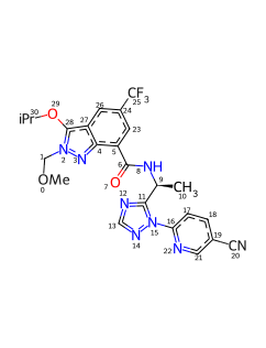 COCn1nc2c(C(=O)N[C@@H](C)c3ncnn3-c3ccc(C#N)cn3)cc(C(F)(F)F)cc2c1OC(C)C